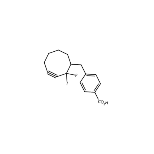 O=C(O)c1ccc(CC2CCCCC#CC2(F)I)cc1